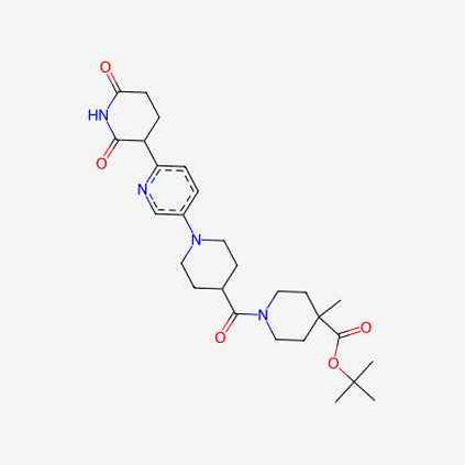 CC(C)(C)OC(=O)C1(C)CCN(C(=O)C2CCN(c3ccc(C4CCC(=O)NC4=O)nc3)CC2)CC1